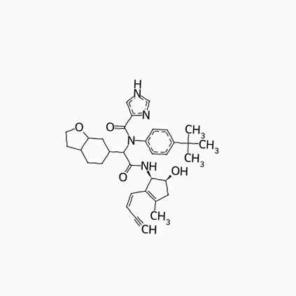 C#C/C=C\C1=C(C)C[C@H](O)[C@@H]1NC(=O)C(C1CCC2CCOC2C1)N(C(=O)c1c[nH]cn1)c1ccc(C(C)(C)C)cc1